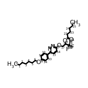 CCCCCCCOc1ccc(-c2ccc(OCC(OC(=O)CCCCC)C(F)(F)F)nn2)cc1